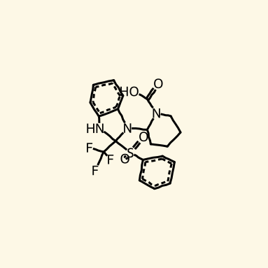 O=C(O)N1CCCCC1N1c2ccccc2NC1(C(F)(F)F)S(=O)(=O)c1ccccc1